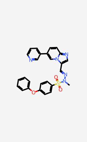 CN(/N=C/c1cnc2ccc(-c3cccnc3)cn12)S(=O)(=O)c1ccc(Oc2ccccc2)cc1